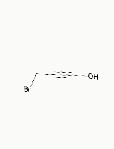 OC#CCBr